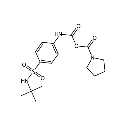 CC(C)(C)NS(=O)(=O)c1ccc(NC(=O)OC(=O)N2CCCC2)cc1